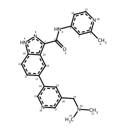 Cc1cc(NC(=O)c2n[nH]c3ccc(-c4cncc(CN(C)C)c4)cc23)ccn1